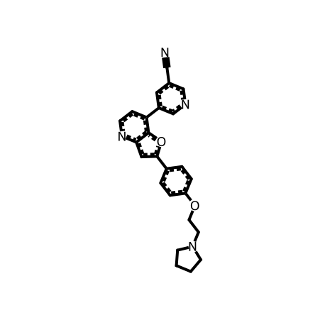 N#Cc1cncc(-c2ccnc3cc(-c4ccc(OCCN5CCCC5)cc4)oc23)c1